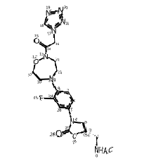 CC(=O)NC[C@H]1CN(c2ccc(N3CCON(C(=O)Cn4cnnn4)CC3)c(F)c2)C(=O)O1